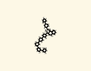 c1ccc(-c2ccc(-c3nc(-c4ccc(-c5ccc(-c6cccc(-c7cccc(-c8ccccc8)c7)c6)cc5)cc4)c4ccc5ccccc5c4n3)cc2)cc1